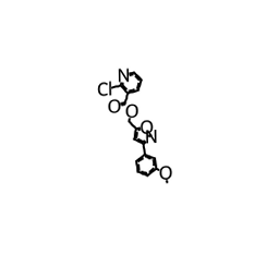 COc1cccc(-c2cc(COC(=O)c3cccnc3Cl)on2)c1